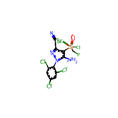 N#Cc1nn(-c2c(Cl)cc(Cl)cc2Cl)c(N)c1S(=O)(Cl)(Br)CF